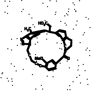 COc1cc2ccc1CCCCCn1nnc3c(C)c(ccc31)C(CC(=O)O)c1ccc3c(c1)CN(CC3)C2=O